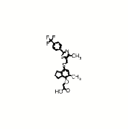 Cc1cc(SCc2sc(-c3ccc(C(F)(F)F)cc3)nc2C)c2c(c1OCC(=O)O)CCC2